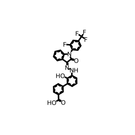 O=C(O)c1cccc(-c2cccc(N/N=C3\C(=O)N(c4ccc(C(F)(F)F)cc4F)c4ccccc43)c2O)c1